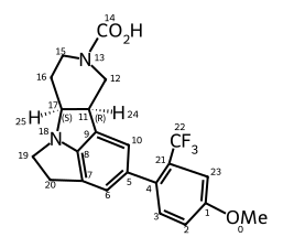 COc1ccc(-c2cc3c4c(c2)[C@@H]2CN(C(=O)O)CC[C@@H]2N4CC3)c(C(F)(F)F)c1